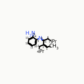 C/C=C(CC(C)C)\C(CC(C)C)=N/c1ccccc1N